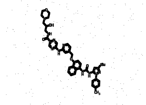 Cc1ccc(-n2nc(C(C)(C)C)cc2NC(=O)Nc2ccc(OCc3ccnc(Nc4cnc(C(=O)NCC(O)CN5CCOCC5)cn4)c3)c3ccccc23)cc1